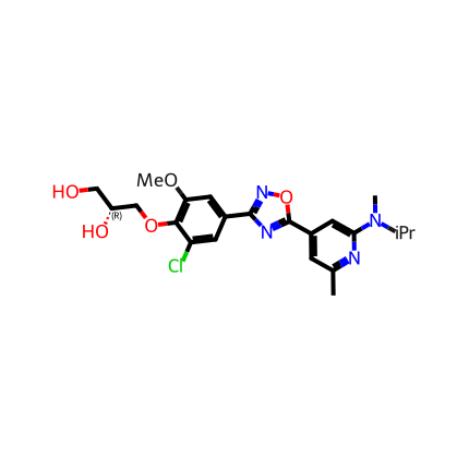 COc1cc(-c2noc(-c3cc(C)nc(N(C)C(C)C)c3)n2)cc(Cl)c1OC[C@H](O)CO